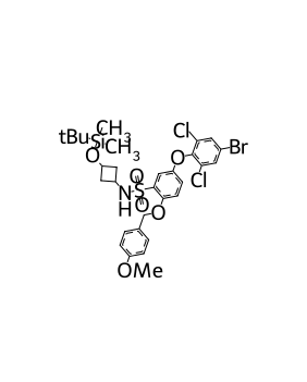 COc1ccc(COc2ccc(Oc3c(Cl)cc(Br)cc3Cl)cc2S(=O)(=O)NC2CC(O[Si](C)(C)C(C)(C)C)C2)cc1